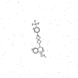 COc1ccncc1C(C=O)C1CC2(C1)CN(c1ccc(C(F)(F)F)nc1)C2